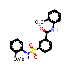 COc1ccccc1NS(=O)(=O)c1cccc(C(=O)Nc2ccccc2C(=O)O)c1